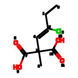 CCC(Cl)=CC(C)(C(=O)O)C(=O)O